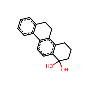 OC1(O)CCCc2c1ccc1c2CCc2ccccc2-1